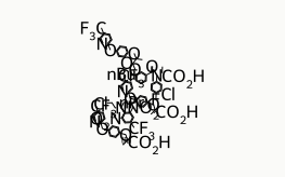 CC(C(=O)O)N(C(=O)c1ccccc1)c1ccc(F)c(Cl)c1.CC(Oc1ccc(Oc2ccc(C(F)(F)F)cn2)cc1)C(=O)O.CCCCOC(=O)C(C)Oc1ccc(Oc2ccc(C(F)(F)F)cn2)cc1.CCCN(CCCl)c1c([N+](=O)[O-])cc(C(F)(F)F)cc1[N+](=O)[O-].C[C@@H](Oc1ccc(Oc2ccc(C(F)(F)F)cn2)cc1)C(=O)O